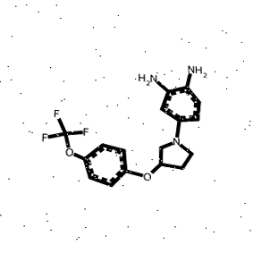 Nc1ccc(N2CCC(Oc3ccc(OC(F)(F)F)cc3)C2)cc1N